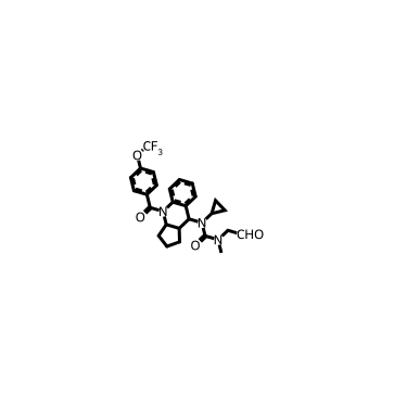 CN(CC=O)C(=O)N(C1CC1)C1c2ccccc2N(C(=O)c2ccc(OC(F)(F)F)cc2)C2CCCC21